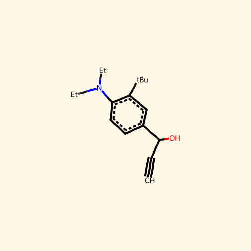 C#CC(O)c1ccc(N(CC)CC)c(C(C)(C)C)c1